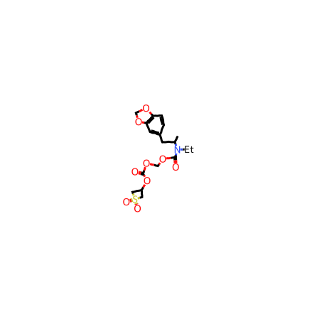 CCN(C(=O)OCOC(=O)OC1CS(=O)(=O)C1)C(C)Cc1ccc2c(c1)OCO2